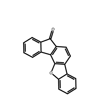 O=C1c2ccccc2-c2c1ccc1c2oc2ccccc21